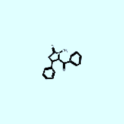 CN1C(=O)[CH]C(c2ccccc2)C1C(=O)c1ccccc1